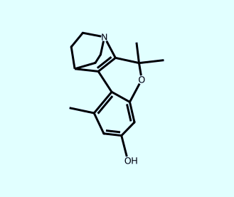 Cc1cc(O)cc2c1C1=C(N3CCC1CC3)C(C)(C)O2